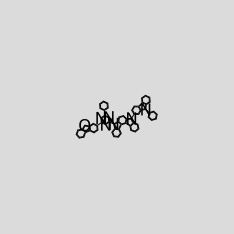 c1ccc(-c2nc(-c3ccc4c(c3)oc3ccccc34)nc(-n3c4ccccc4c4c5c6ccccc6n(-c6ccc7c8ccccc8n(-c8ccccc8)c7c6)c5ccc43)n2)cc1